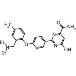 CCN(CC)Cc1cc(C(F)(F)F)ccc1Oc1ccc(-c2nc(O)cc(C(N)=O)n2)cc1